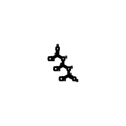 O=C(Cl)OC(Cl)OC(=O)Cl